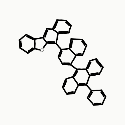 c1ccc(-c2c3ccccc3c(-c3ccc(-c4c5ccccc5cc5c4oc4ccccc45)c4ccccc34)c3ccccc23)cc1